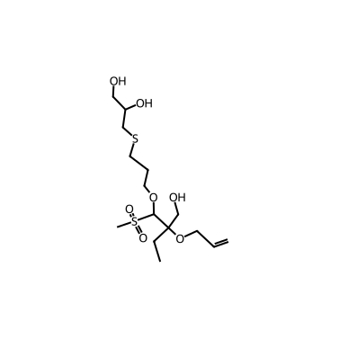 C=CCOC(CC)(CO)C(OCCCSCC(O)CO)S(C)(=O)=O